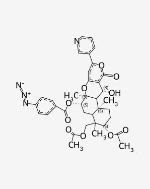 CC(=O)OCC1(C)C2C[C@H](OC(=O)c3ccc(N=[N+]=[N-])cc3)[C@@]3(C)Oc4cc(-c5cccnc5)oc(=O)c4[C@H](O)C3[C@@]2(C)CC[C@@H]1OC(C)=O